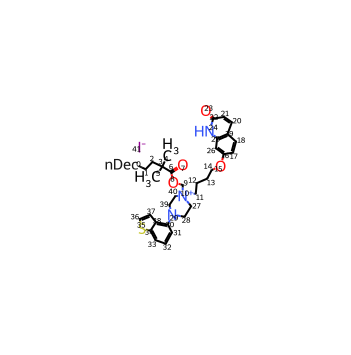 CCCCCCCCCCCCC(C)(C)C(=O)OC[N+]1(CCCCOc2ccc3ccc(=O)[nH]c3c2)CCN(c2cccc3sccc23)CC1.[I-]